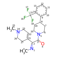 C/N=C(/C(=O)N1CCC(c2ccccc2C(F)(F)F)CC1)C1=CCN(C)CC1